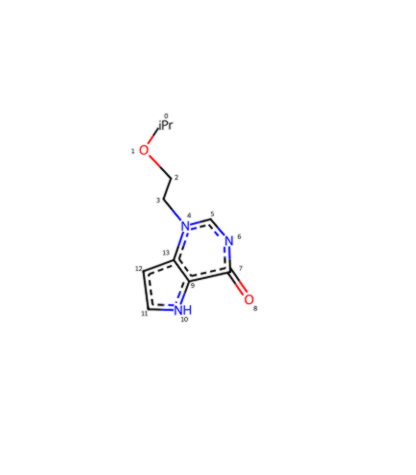 CC(C)OCCn1cnc(=O)c2[nH]ccc21